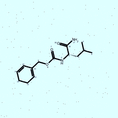 CC(C)C[C@H](NC(=O)OCC1=CCCC=C1)C(N)=O